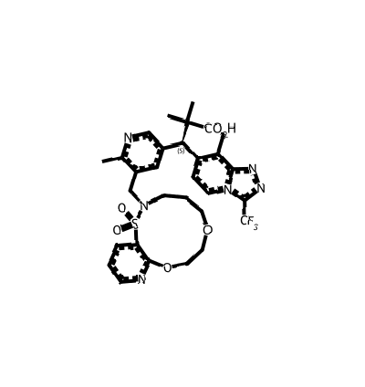 Cc1ncc([C@H](c2ccn3c(C(F)(F)F)nnc3c2C)C(C)(C)C(=O)O)cc1CN1CCCOCCOc2ncccc2S1(=O)=O